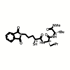 CNC(=O)[C@@H](NC(=O)[C@H](CC(C)C)NC(=O)[C@@H](S)CCCN1C(=O)c2ccccc2C1=O)C(C)(C)C